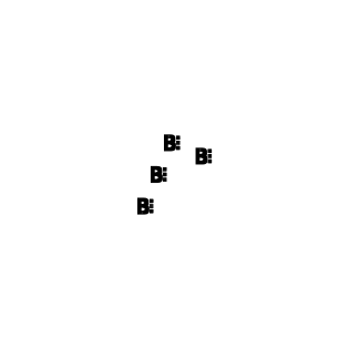 [B].[B].[B].[B]